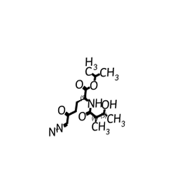 CC(C)OC(=O)[C@H](CCC(=O)C=[N+]=[N-])NC(=O)[C@H](C)[C@H](C)O